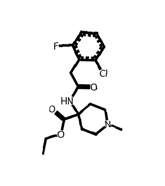 CCOC(=O)C1(NC(=O)Cc2c(F)cccc2Cl)CCN(C)CC1